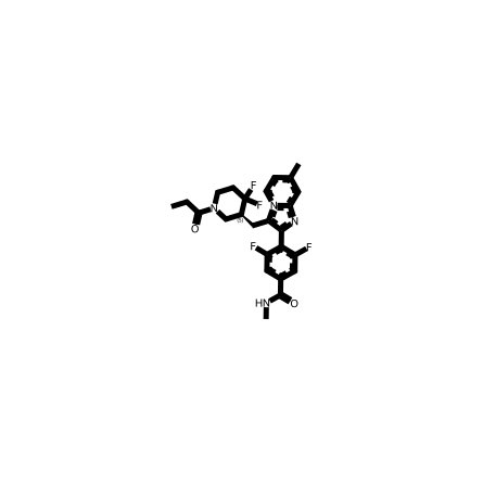 CCC(=O)N1CCC(F)(F)[C@@H](Cc2c(-c3c(F)cc(C(=O)NC)cc3F)nc3cc(C)ccn23)C1